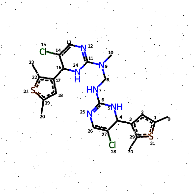 Cc1cc(C2NC(NCN(C)C3=NC=C(Cl)C(c4cc(C)sc4C)N3)=NC=C2Cl)c(C)s1